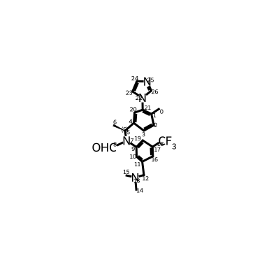 Cc1ccc([C@H](C)N(C=O)c2cc(CN(C)C)cc(C(F)(F)F)c2)cc1-n1ccnc1